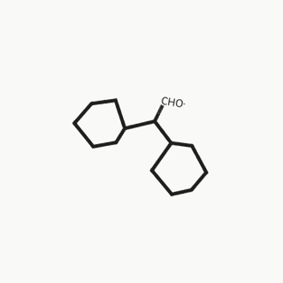 O=[C]C(C1CCCCC1)C1CCCCC1